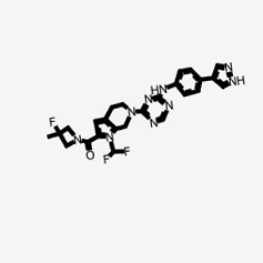 CC1(F)CN(C(=O)c2cc3c(n2C(F)F)CN(c2ncnc(Nc4ccc(-c5cn[nH]c5)cc4)n2)CC3)C1